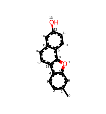 Cc1ccc2c(c1)oc1c3ccc(O)cc3ccc21